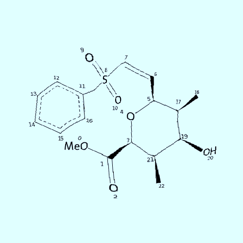 COC(=O)[C@H]1O[C@@H](/C=C\S(=O)(=O)c2ccccc2)[C@@H](C)[C@@H](O)[C@H]1C